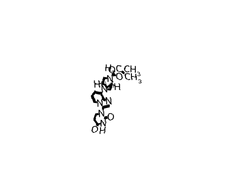 CC(C)(C)OC(=O)N1C[C@H]2C[C@@H]1CN2c1cccn2c(N3CCC(=O)NC3=O)cnc12